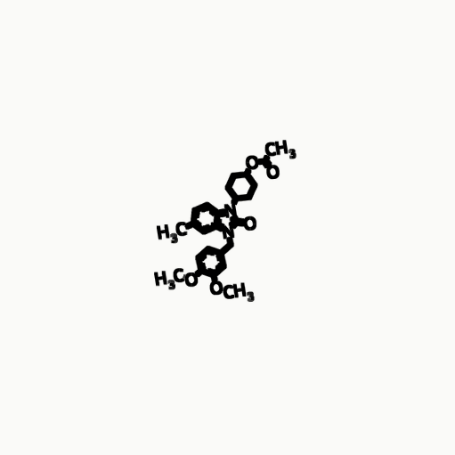 COc1ccc(Cn2c(=O)n(C3CCC(OC(C)=O)CC3)c3ccc(C)cc32)cc1OC